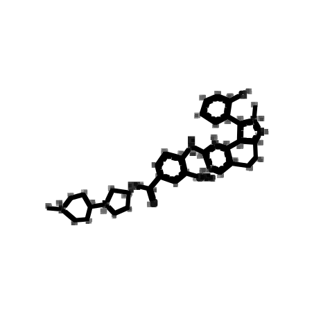 COc1cc(C(=O)N[C@@H]2CCN(C3CCN(C)CC3)C2)ccc1Nc1ncc2c(n1)-c1c(nn(C)c1-c1ccccc1Cl)CC2